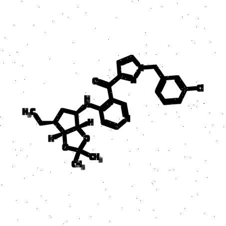 CC[C@H]1C[C@@H](Nc2ccncc2C(=O)c2ccn(Cc3cccc(Cl)c3)n2)[C@@H]2OC(C)(C)O[C@H]12